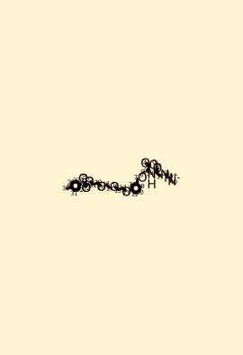 COC(=O)[C@H](COCc1cccc(OCCOCCOCCOS(=O)(=O)c2ccc(C)cc2)c1)NC(=O)CN=[N+]=[N-]